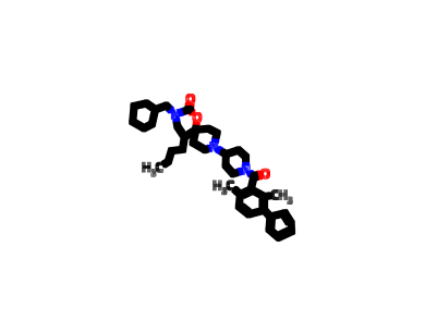 CCCCC1CN(CC2CCCCC2)C(=O)OC12CCN(C1CCN(C(=O)c3c(C)ccc(-c4ccccc4)c3C)CC1)CC2